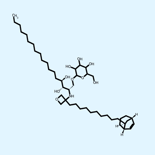 CCCCCCCCCCCCCC[C@@H](O)[C@@H](O)[C@H](COC1OC(CO)C(O)C(O)C1O)NC1(CCCCCCCCCC[C@H]2C[C@H]3C=C[C@@H]2CCC3)COC1